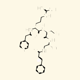 CC(C)C[C@H](NC(=O)[C@H](CCCNC(=N)N)NC(=O)Cc1ccncc1)C(=O)N[C@H](CNC(=O)/C=C/c1ccccc1)C(C)C